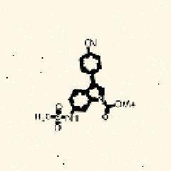 COC(=O)n1cc(-c2ccc(C#N)cc2)c2ccc(NS(C)(=O)=O)cc21